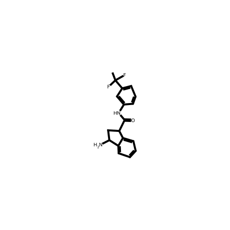 CC(F)(F)c1cccc(NC(=O)C2CC(N)c3ccccc32)c1